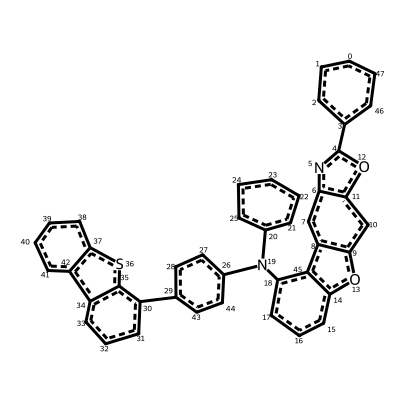 c1ccc(-c2nc3cc4c(cc3o2)oc2cccc(N(c3ccccc3)c3ccc(-c5cccc6c5sc5ccccc56)cc3)c24)cc1